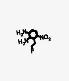 Nc1ccc([N+](=O)[O-])c(CCF)c1N